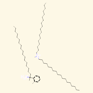 CCCCCCCCCCCCCCCCCCC(C)(N)c1ccccc1C.CCCCCCCCCCCCCCCCCC[N+](C)(C)CCCCCCCCCCCCCCCCCC